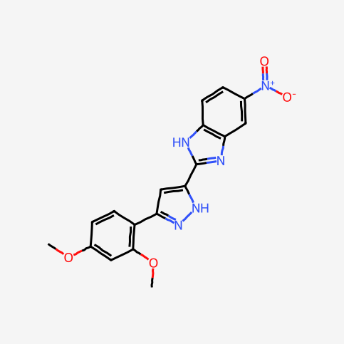 COc1ccc(-c2cc(-c3nc4cc([N+](=O)[O-])ccc4[nH]3)[nH]n2)c(OC)c1